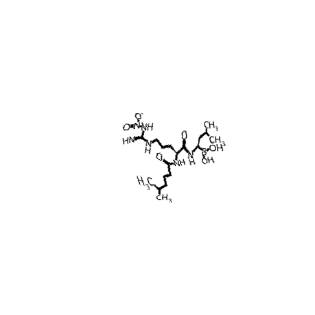 CC(C)CCCC(=O)N[C@@H](CCCNC(=N)N[N+](=O)[O-])C(=O)N[C@@H](CC(C)C)B(O)O